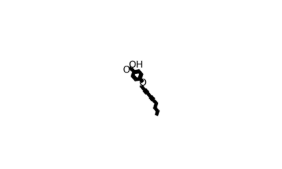 CCCCC#CC#CCOc1ccc(C(=O)O)cc1